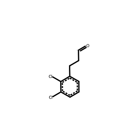 O=[C]CCc1cccc(Cl)c1Cl